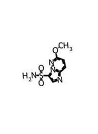 COc1ccc2ncc(S(N)(=O)=O)n2n1